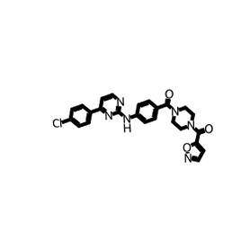 O=C(c1ccc(Nc2nccc(-c3ccc(Cl)cc3)n2)cc1)N1CCN(C(=O)c2ccno2)CC1